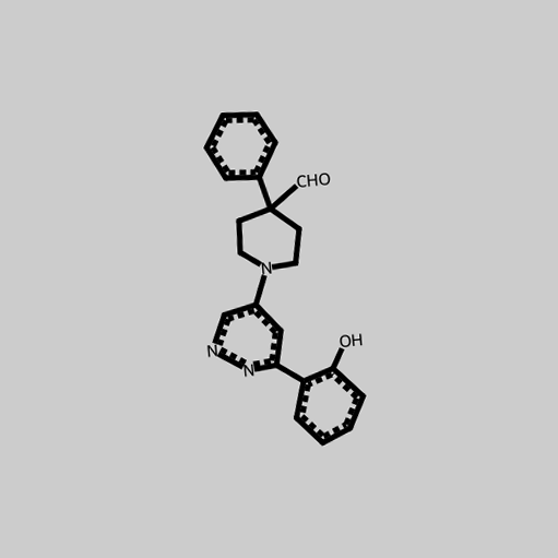 O=CC1(c2ccccc2)CCN(c2cnnc(-c3ccccc3O)c2)CC1